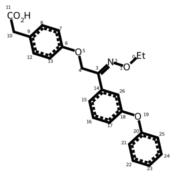 CCON=C(COc1ccc(CC(=O)O)cc1)c1cccc(Oc2ccccc2)c1